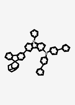 c1ccc(-c2ccc(N(c3ccc(-c4ccccc4)cc3)c3ccc4c(c3)c3cc(-c5ccc6c(c5)-c5ccccc5C65C6CC7CC(C6)CC5C7)ccc3n4-c3ccccc3)cc2)cc1